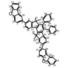 CC1(C)c2cc(-c3ccc4oc5ccccc5c4c3)ccc2-c2c1c(-c1ccccc1)c(-c1ccccc1)c1c2C(C)(C)c2cc(-c3ccc4oc5ccccc5c4c3)ccc2-1